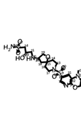 CN1CCOc2ncc(S(=O)(=O)N3CCC4(CC3)C[C@@H](NC[C@H](O)CS(N)(=O)=O)CO4)cc21